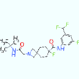 CC(C)(C)NC(=O)CN1CC2(CCC(F)(C(=O)Nc3cc(F)cc(C(F)F)c3)CC2)C1